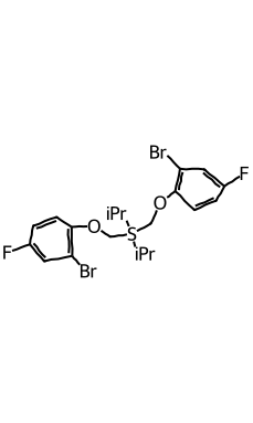 CC(C)S(COc1ccc(F)cc1Br)(COc1ccc(F)cc1Br)C(C)C